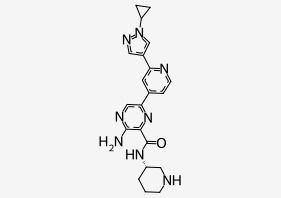 Nc1ncc(-c2ccnc(-c3cnn(C4CC4)c3)c2)nc1C(=O)N[C@H]1CCCNC1